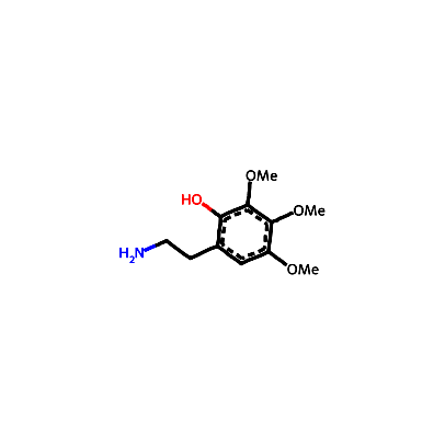 COc1cc(CCN)c(O)c(OC)c1OC